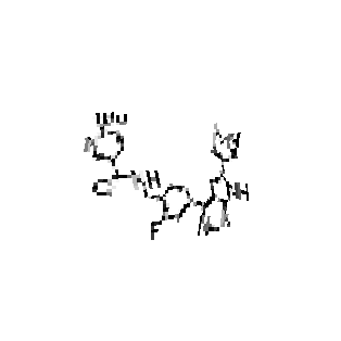 Cn1cc(-c2cc3c(-c4ccc(CNC(=O)c5ccc(C(C)(C)C)nc5)c(F)c4)ncnc3[nH]2)cn1